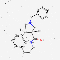 O=C1[C@H]2CN(Cc3ccccc3)C[C@@H]2c2cccc3c2N1CCC3